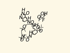 CC(=O)N1CC(=O)Nc2ccc(S(=O)(=O)C(C)C)c(c2)CNC(=O)C(Nc2ccc3nc[nH]c(=O)c3c2)c2cc(C)c(c(C)c2)C1.O=C(O)C(F)(F)F